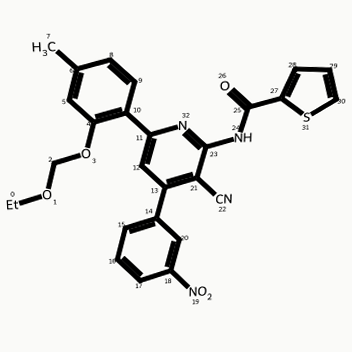 CCOCOc1cc(C)ccc1-c1cc(-c2cccc([N+](=O)[O-])c2)c(C#N)c(NC(=O)c2cccs2)n1